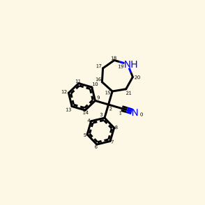 N#CC(c1ccccc1)(c1ccccc1)C1CCCNCC1